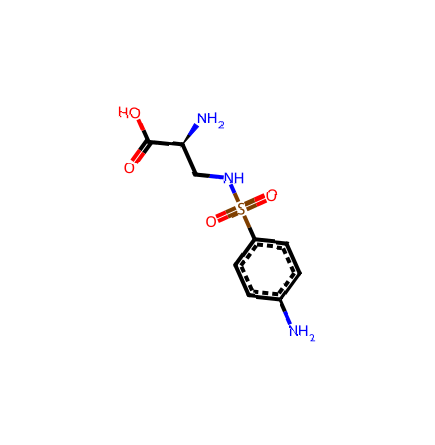 Nc1ccc(S(=O)(=O)NC[C@H](N)C(=O)O)cc1